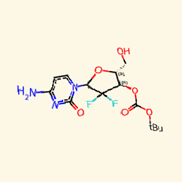 CC(C)(C)OC(=O)O[C@@H]1[C@@H](CO)OC(n2ccc(N)nc2=O)C1(F)F